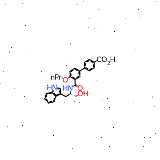 CCCOc1ccc(-c2ccc(C(=O)O)cc2)cc1C(=O)N[C@H](CO)Cc1c[nH]c2ccccc12